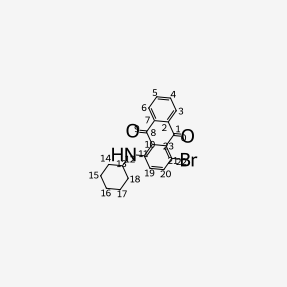 O=C1c2ccccc2C(=O)c2c(NC3CCCCC3)ccc(Br)c21